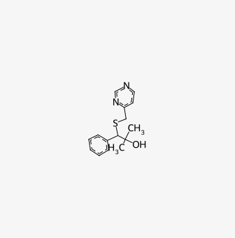 CC(C)(O)C(SCc1ccncn1)c1ccccc1